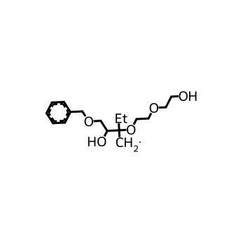 [CH2]C(CC)(OCCOCCO)C(O)COCc1ccccc1